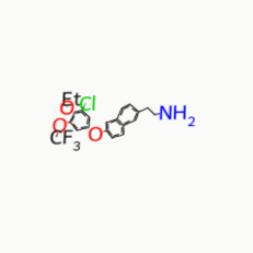 CCOc1c(Cl)cc(Oc2ccc3cc(CCN)ccc3c2)cc1OC(F)(F)F